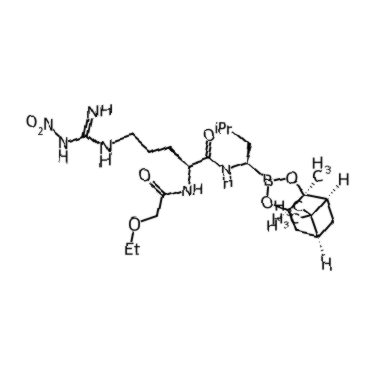 CCOCC(=O)N[C@@H](CCCNC(=N)N[N+](=O)[O-])C(=O)N[C@@H](CC(C)C)B1O[C@@H]2C[C@@H]3C[C@@H](C3(C)C)[C@]2(C)O1